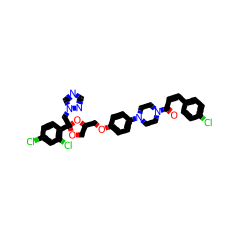 O=C(/C=C\c1ccc(Cl)cc1)N1CCN(c2ccc(OCC3COC(Cn4cncn4)(c4ccc(Cl)cc4Cl)O3)cc2)CC1